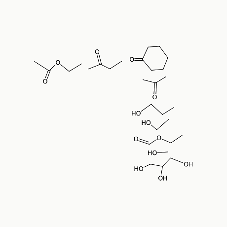 CC(C)=O.CCC(C)=O.CCCO.CCO.CCOC(C)=O.CCOC=O.CO.O=C1CCCCC1.OCC(O)CO